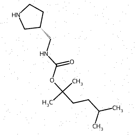 CC(C)CCC(C)(C)OC(=O)NC[C@H]1CCNC1